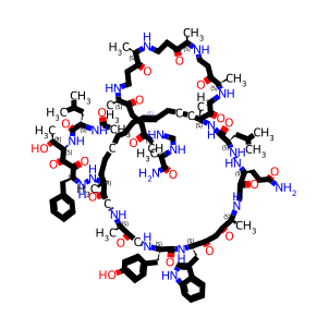 CC(=O)N[C@@H](CC(C)C)C(=O)N[C@H](C(=O)C(=O)[C@H](Cc1ccccc1)NN[C@]1(C)CCCCCC/C=C/CCC[C@@](C)(C(=O)CN[C@@H](C)C(=O)CCN[C@@H](C)C(=O)CCN[C@@H](C)C(=O)CCN[C@@H](C)C(=O)CCC(=O)[C@H](C)NCN[C@H](C)C(N)=O)NC(=O)[C@H](CC(C)C)NN[C@@H](CCC(N)=O)C(=O)CN[C@@H](C)C(=O)CC(=O)[C@H](Cc2c[nH]c3ccccc23)NC(=O)[C@H](Cc2ccc(O)cc2)NCC(=O)[C@H](C)NCC1=O)[C@@H](C)O